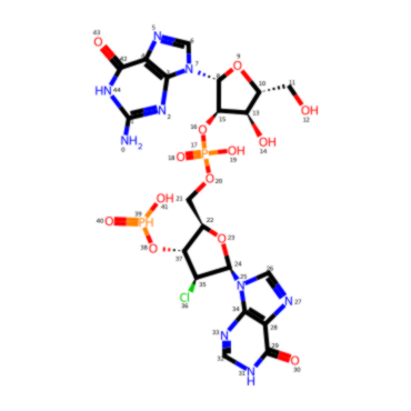 Nc1nc2c(ncn2[C@@H]2O[C@H](CO)[C@@H](O)[C@H]2OP(=O)(O)OC[C@H]2O[C@@H](n3cnc4c(=O)[nH]cnc43)[C@@H](Cl)[C@@H]2O[PH](=O)O)c(=O)[nH]1